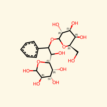 OC[C@H]1OC(OC(c2ccccc2)C(O)[C@H]2OC(O)[C@H](O)[C@@H](O)[C@H]2O)[C@H](O)[C@@H](O)[C@H]1O